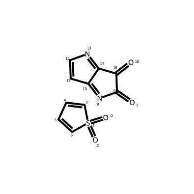 O=S1(=O)C=CC=C1.O=c1nc2ccnc-2c1=O